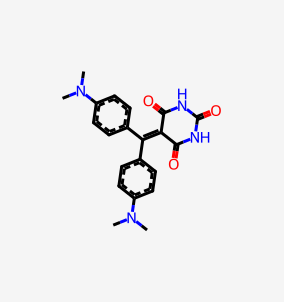 CN(C)c1ccc(C(=C2C(=O)NC(=O)NC2=O)c2ccc(N(C)C)cc2)cc1